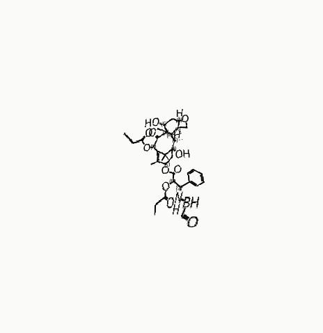 CCC(=O)O[C@H]1C(=O)[C@@]2(C)[C@H]([C@H](C)[C@]3(O)C[C@H](OC(=O)[C@H](OC(=O)CC)[C@@H](NBC=O)c4ccccc4)C(C)=C1C3(C)C)[C@]1(C)CO[C@@H]1C[C@@H]2O